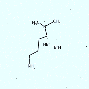 Br.Br.CN(C)CCCCN